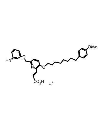 COc1ccc(CCCCCCCCOc2ccc(COc3cccc([NH-])c3)nc2C=CC(=O)O)cc1.[Li+]